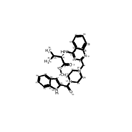 COC(=O)[C@@H](Nc1nc(CN2CCN(C(=O)c3cc4ccccc4[nH]3)CC2)nc2ccccc12)C(C)C